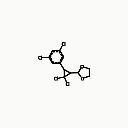 Clc1cc(Cl)cc(C2C(C3OCCO3)C2(Cl)Cl)c1